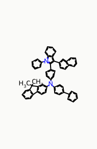 CC1(C)c2ccccc2-c2ccc(N(c3ccc(-c4ccccc4)cc3)c3ccc(-c4c(-c5ccc6ccccc6c5)c5ccccc5n4-c4ccccc4)cc3)cc21